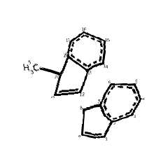 C1=Cc2ccccc2C1.CC1C=Cc2ccccc21